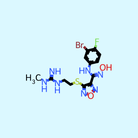 CNC(=N)NCCSc1nonc1/C(=N/O)Nc1ccc(F)c(Br)c1